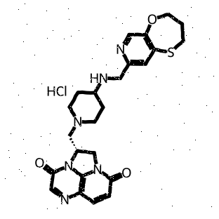 Cl.O=c1ccc2ncc(=O)n3c2n1C[C@H]3CN1CCC(NCc2cc3c(cn2)OCCCS3)CC1